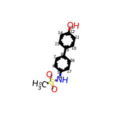 CS(=O)(=O)Nc1ccc(-c2ccc(O)cc2)cc1